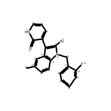 CC(=O)c1c(-c2ccc[nH]c2=O)c2cc(C)ccc2n1Cc1ccccc1F